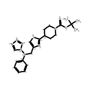 CC(C)(C)OC(=O)N1CCC(c2nc(CN(c3ccccc3)n3cnnn3)cs2)CC1